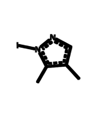 Cc1cnn(I)c1C